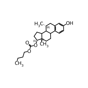 CCCCOC(=O)O[C@H]1CCC2C3C(CC[C@@]21C)c1ccc(O)cc1C[C@H]3C